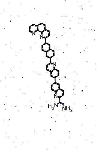 N/C=C(\N)c1ccc2cc(-c3ccc4nc(-c5ccc6cc(-c7ccc8ccc9cccnc9c8n7)ccc6c5)ccc4c3)ccc2n1